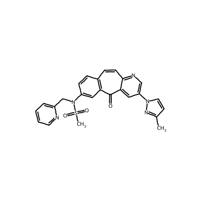 Cc1ccn(-c2cnc3ccc4ccc(N(Cc5ccccn5)S(C)(=O)=O)cc4c(=O)c3c2)n1